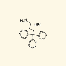 Br.NCCCC(c1ccccc1)(c1ccccc1)c1ccccc1